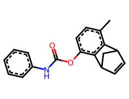 Cc1ccc(OC(=O)Nc2ccccc2)c2c1C1C=CC2C1